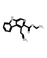 C=CCc1c(C(=O)OCC)ncc2[nH]c3ccccc3c12